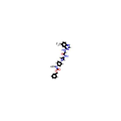 CCCN(C(=O)OCc1ccccc1)[C@H]1CC[C@@H](N2CC(NC(=O)CNc3ncnc4ccc(C(F)(F)F)cc34)C2)CC1